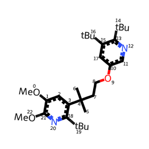 COc1cc(C(C)(C)CCOc2cnc(C(C)(C)C)c(C(C)(C)C)c2)c(C(C)(C)C)nc1OC